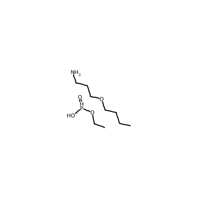 CCCCOCCCN.CCO[PH](=O)O